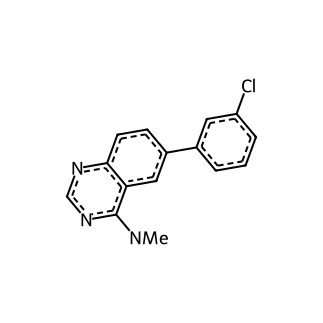 CNc1ncnc2ccc(-c3cccc(Cl)c3)cc12